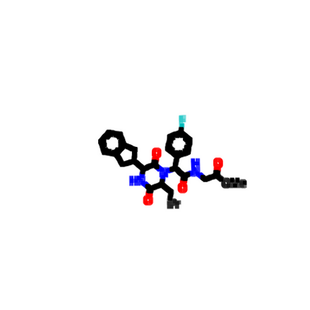 COC(=O)CNC(=O)C(c1ccc(F)cc1)N1C(=O)C(C2Cc3ccccc3C2)NC(=O)C1CC(C)C